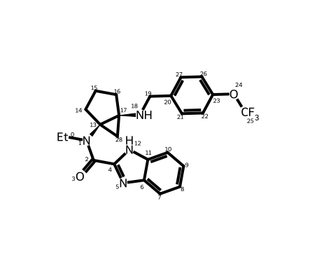 CCN(C(=O)c1nc2ccccc2[nH]1)[C@@]12CCC[C@]1(NCc1ccc(OC(F)(F)F)cc1)C2